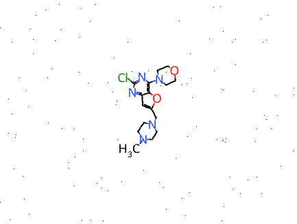 CN1CCN(Cc2cc3nc(Cl)nc(N4CCOCC4)c3o2)CC1